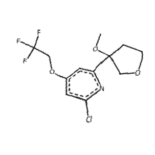 COC1(c2cc(OCC(F)(F)F)cc(Cl)n2)CCOC1